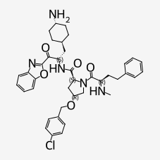 CN[C@H](CCc1ccccc1)C(=O)N1C[C@H](OCc2ccc(Cl)cc2)C[C@H]1C(=O)N[C@@H](C[C@H]1CC[C@H](N)CC1)C(=O)c1nc2ccccc2o1